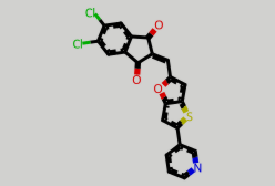 O=C1C(=Cc2cc3sc(-c4cccnc4)cc3o2)C(=O)c2cc(Cl)c(Cl)cc21